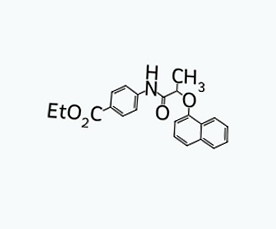 CCOC(=O)c1ccc(NC(=O)C(C)Oc2cccc3ccccc23)cc1